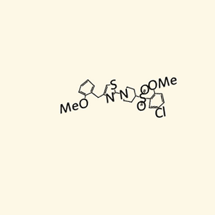 COc1ccccc1Cc1csc(N2CCC(S(=O)(=O)c3cc(Cl)ccc3OC)CC2)n1